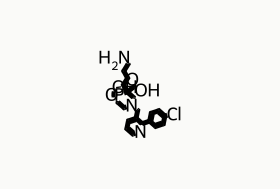 NCCCCC1(C(=O)O)CN(Cc2cccnc2-c2ccc(Cl)cc2)CCP1(=O)O